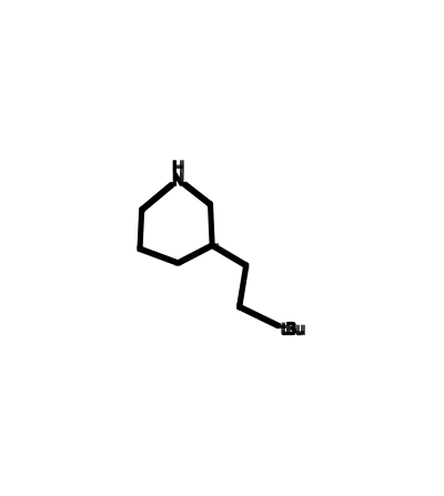 CC(C)(C)CC[C]1CCCNC1